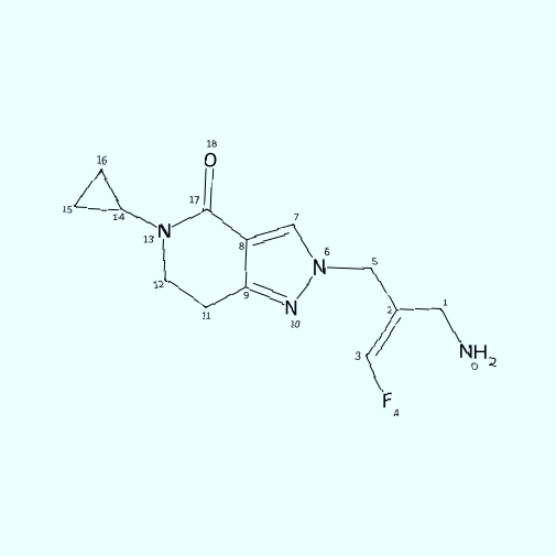 NCC(=CF)Cn1cc2c(n1)CCN(C1CC1)C2=O